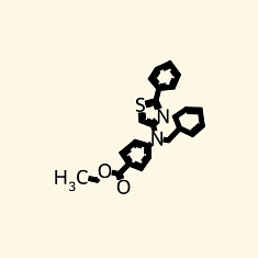 CCOC(=O)c1ccc(N(CC2C=CC=CC2)c2csc(-c3ccccc3)n2)cc1